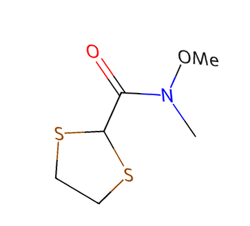 CON(C)C(=O)C1SCCS1